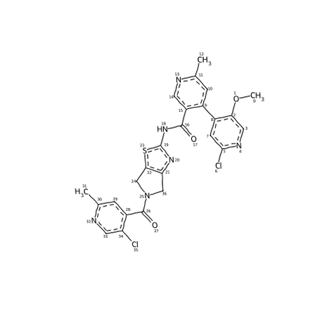 COc1cnc(Cl)cc1-c1cc(C)ncc1C(=O)Nc1nc2c(s1)CN(C(=O)c1cc(C)ncc1Cl)C2